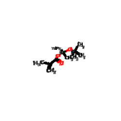 C=C(C)C(=O)O[Si](C)(CCC)O[Si](C)(C)C